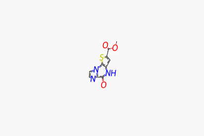 COC(=O)c1cc2[nH]c(=O)c3nccn3c2s1